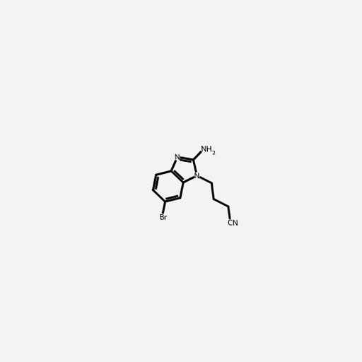 N#CCCCn1c(N)nc2ccc(Br)cc21